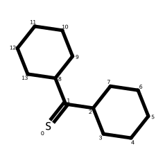 S=C(C1CCCCC1)C1CCCCC1